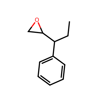 CCC(c1ccccc1)C1CO1